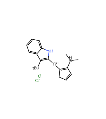 C[SiH](C)C1=[C]([Ti+2][c]2[nH]c3ccccc3c2C(C)(C)C)CC=C1.[Cl-].[Cl-]